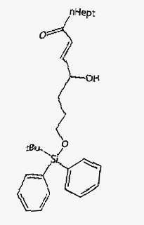 CCCCCCCC(=O)/C=C/C(O)CCCO[Si](c1ccccc1)(c1ccccc1)C(C)(C)C